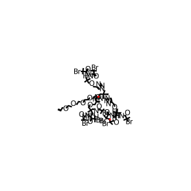 C=CCOCCOCCOCCOCCOCC(Cn1cc(COCC(C)(CNC(=O)C(C)(C)Br)CNC(=O)C(C)(C)Br)nn1)(Cn1cc(COCC(CNC(=O)C(C)(C)Br)(CNC(=O)C(C)(C)Br)CNC(=O)C(C)(C)Br)nn1)Cn1cc(COCC(CNC(=O)C(C)(C)Br)(CNC(=O)C(C)(C)Br)CNC(=O)C(C)(C)Br)nn1